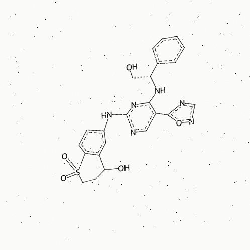 O=S1(=O)CCC(O)c2cc(Nc3ncc(-c4ncno4)c(N[C@H](CO)c4ccccc4)n3)ccc21